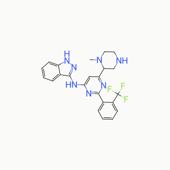 CN1CCNCC1c1cc(Nc2n[nH]c3ccccc23)nc(-c2ccccc2C(F)(F)F)n1